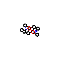 c1ccc(-n2c3ccccc3c3cc(-c4ccccc4-c4ccccc4-c4ccccc4-c4ccccc4-c4ccc5c(c4)c4ccccc4n5-c4cccc5ccccc45)ccc32)cc1